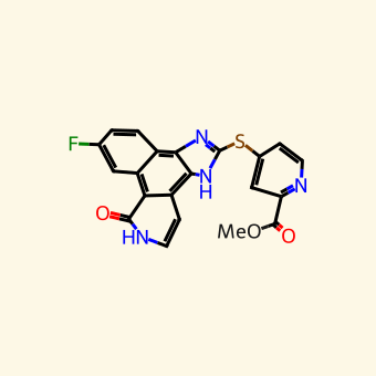 COC(=O)c1cc(Sc2nc3c4ccc(F)cc4c4c(=O)[nH]ccc4c3[nH]2)ccn1